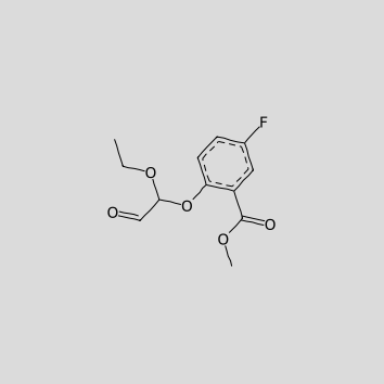 CCOC(C=O)Oc1ccc(F)cc1C(=O)OC